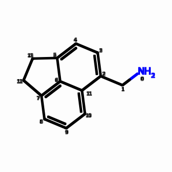 NCc1ccc2c3c(cccc13)CC2